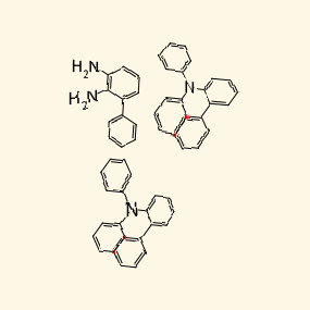 Nc1cccc(-c2ccccc2)c1N.c1ccc(-c2ccccc2N(c2ccccc2)c2ccccc2)cc1.c1ccc(-c2ccccc2N(c2ccccc2)c2ccccc2)cc1